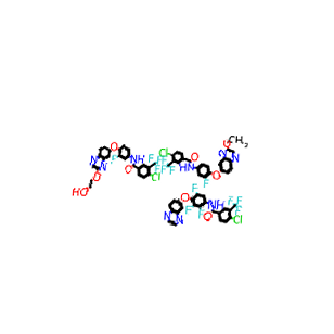 COc1cnc2ccc(Oc3ccc(NC(=O)c4ccc(Cl)c(C(F)(F)F)c4)cc3F)cc2n1.O=C(Nc1cc(F)c(Oc2ccc3nccnc3c2)c(F)c1F)c1ccc(Cl)c(C(F)(F)F)c1.O=C(Nc1ccc(Oc2ccc3ncc(OCCO)nc3c2)c(F)c1)c1ccc(Cl)c(C(F)(F)F)c1